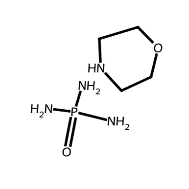 C1COCCN1.NP(N)(N)=O